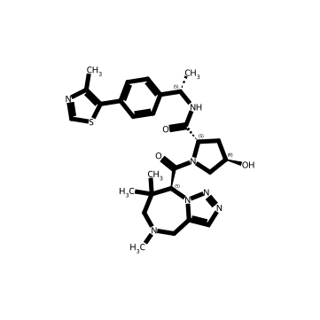 Cc1ncsc1-c1ccc([C@H](C)NC(=O)[C@@H]2C[C@@H](O)CN2C(=O)[C@H]2n3nncc3CN(C)CC2(C)C)cc1